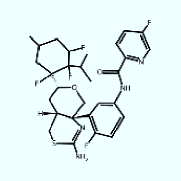 CC1CC(F)C(F)(C(C)C)C(F)([C@H]2C[C@H]3CSC(N)=N[C@@]3(c3cc(NC(=O)c4ccc(F)cn4)ccc3F)CO2)C1